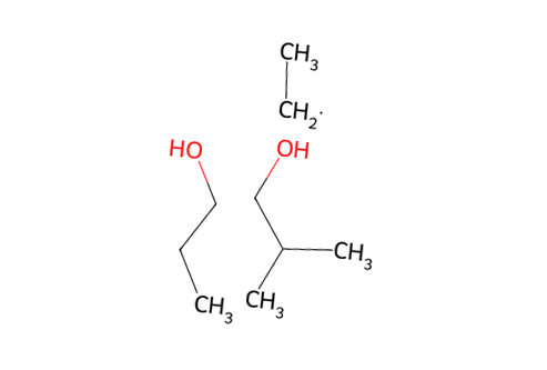 CC(C)CO.CCCO.[CH2]C